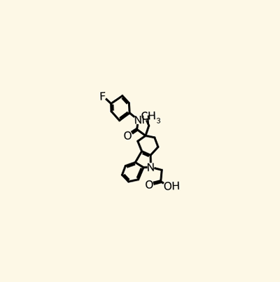 CCC1(C(=O)Nc2ccc(F)cc2)CCc2c(c3ccccc3n2CC(=O)O)C1